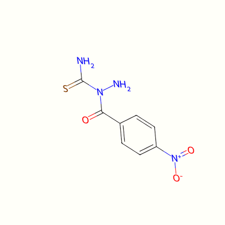 NC(=S)N(N)C(=O)c1ccc([N+](=O)[O-])cc1